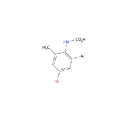 CC(=O)c1cc(Br)cc(C)c1NC(=O)O